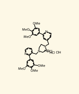 COc1cc(-c2cc(CN3CCN(Cc4cccnc4-c4cc(OC)c(OC)c(OC)c4)CC3)ccn2)cc(OC)c1OC.Cl.Cl.Cl.Cl